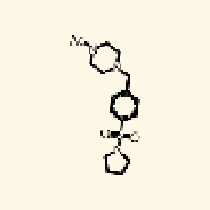 CC(=O)N1CCN(Cc2ccc(S(=O)(=O)N3CCCC3)cc2)CC1